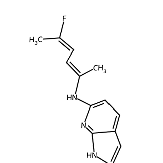 C/C(F)=C\C=C(/C)Nc1ccc2cc[nH]c2n1